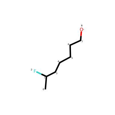 CC(F)CCCCC[O]